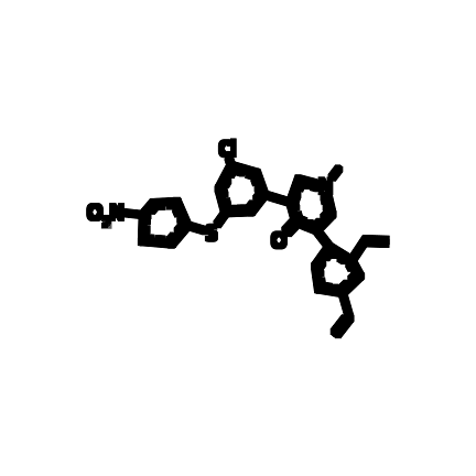 C=Cc1ccc(-c2cn(C)cc(-c3cc(Cl)cc(Sc4ccc([N+](=O)[O-])cc4)c3)c2=O)c(C=C)c1